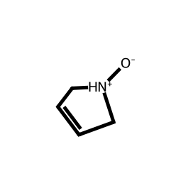 [O-][NH+]1CC=CC1